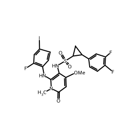 COc1cc(=O)n(C)c(Nc2ccc(I)cc2F)c1NS(=O)(=O)C1CC1c1ccc(F)c(F)c1